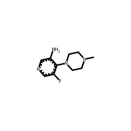 CN1CCN(c2c(N)cncc2F)CC1